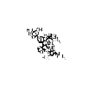 CNc1cc(C)nc(Nc2nc3c(c(C4=CCN(C(=O)OC(C)(C)C)CC(O[Si](C)(C)C(C)(C)C)C4)c2C)OCCO3)n1